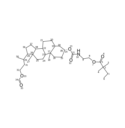 CCC(C)(C)C(=O)OCCNC(=O)O[C@@H]1CCC2(C)C(CCC3C2CCC2(C)C(C(C)CCOC=O)CCC32)C1